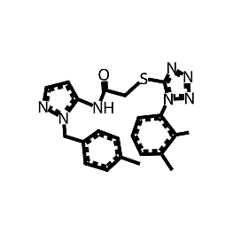 Cc1ccc(Cn2nccc2NC(=O)CSc2nnnn2-c2cccc(C)c2C)cc1